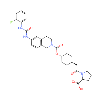 O=C(Nc1ccc2c(c1)CCN(C(=O)O[C@H]1CC[C@H](CC(=O)N3CCCC3C(=O)O)CC1)C2)Nc1ccccc1F